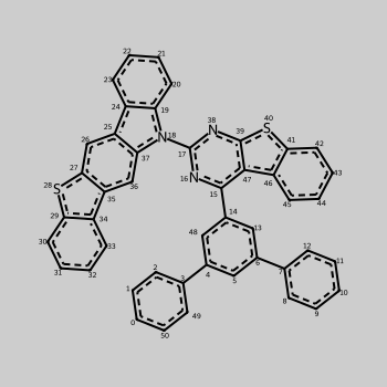 c1ccc(-c2cc(-c3ccccc3)cc(-c3nc(-n4c5ccccc5c5cc6sc7ccccc7c6cc54)nc4sc5ccccc5c34)c2)cc1